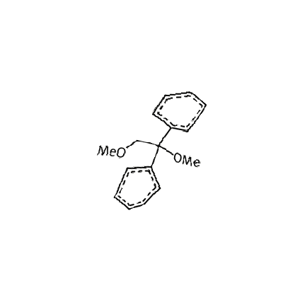 COCC(OC)(c1ccccc1)c1ccccc1